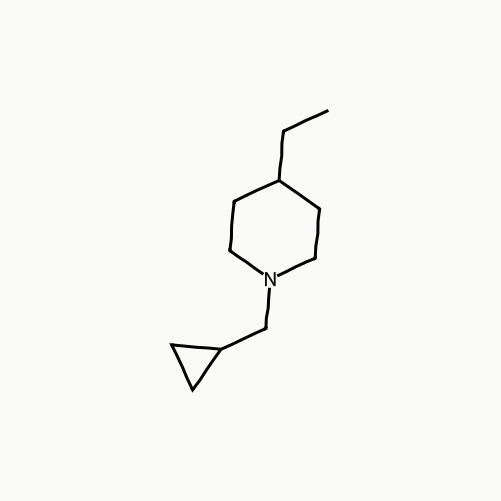 CCC1CCN(CC2CC2)CC1